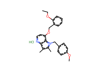 CCOc1ccccc1COc1ccnc2c(C)c(C)n(Cc3ccc(OC)cc3)c12.Cl